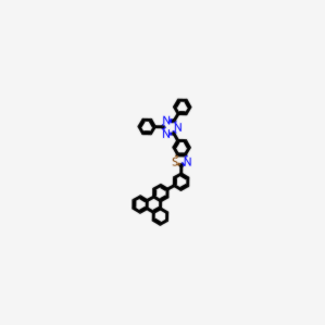 C1=Cc2c(c3cc(-c4cccc(-c5nc6ccc(-c7nc(-c8ccccc8)nc(-c8ccccc8)n7)cc6s5)c4)ccc3c3ccccc23)CC1